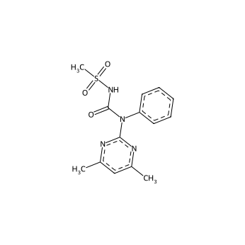 Cc1cc(C)nc(N(C(=O)NS(C)(=O)=O)c2ccccc2)n1